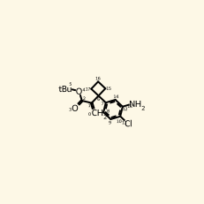 C=C(C(=O)OC(C)(C)C)C1(c2ccc(Cl)c(N)c2)CCC1